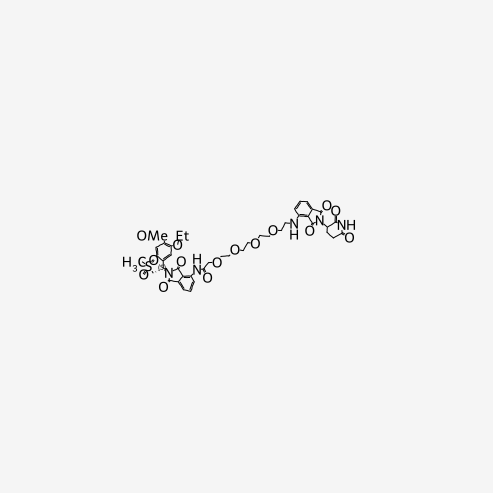 CCOc1cc([C@@H](CS(C)(=O)=O)N2C(=O)c3cccc(NC(=O)COCCOCCOCCOCCNc4cccc5c4C(=O)N(C4CCC(=O)NC4=O)C5=O)c3C2=O)ccc1OC